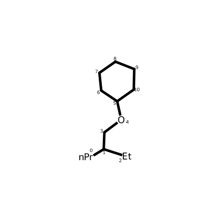 CCCC(CC)COC1CCCCC1